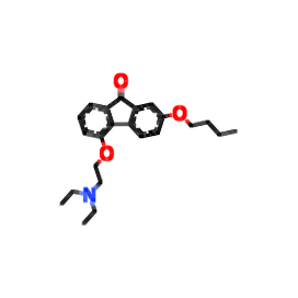 CCCCOc1ccc2c(c1)C(=O)c1cccc(OCCN(CC)CC)c1-2